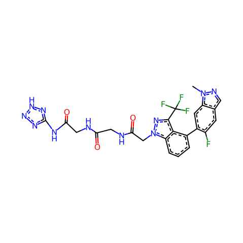 Cn1ncc2cc(F)c(-c3cccc4c3c(C(F)(F)F)nn4CC(=O)NCC(=O)NCC(=O)Nc3nn[nH]n3)cc21